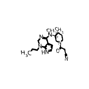 CCCN1CN=C(N(C)[C@H]2CN(C(=O)CC#N)CC[C@H]2C)c2cc[nH]c21